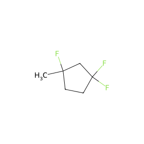 CC1(F)CCC(F)(F)C1